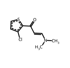 CN(C)C=CC(=O)c1sccc1Cl